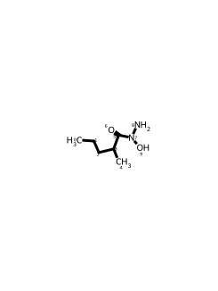 CCCC(C)C(=O)N(N)O